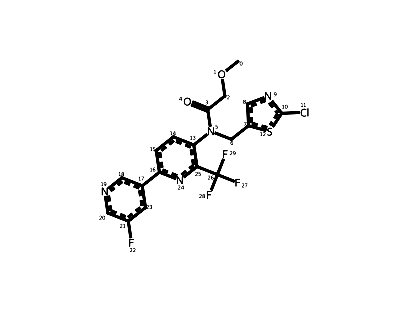 COCC(=O)N(Cc1cnc(Cl)s1)c1ccc(-c2cncc(F)c2)nc1C(F)(F)F